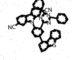 N#Cc1ccc2c3ccc(C#N)cc3n(-c3ccc(-c4cccc5sc6ccccc6c45)cc3-c3nc(-c4ccccc4)nc(-c4ccccc4)n3)c2c1